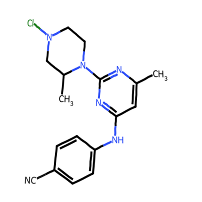 Cc1cc(Nc2ccc(C#N)cc2)nc(N2CCN(Cl)CC2C)n1